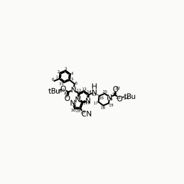 Cc1cccc(CN(C(=O)OC(C)(C)C)c2cc(N[C@H]3CCCN(C(=O)OC(C)(C)C)C3)nc3c(C#N)cnn23)c1